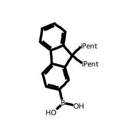 CCCC(C)C1(C(C)CCC)c2ccccc2-c2ccc(B(O)O)cc21